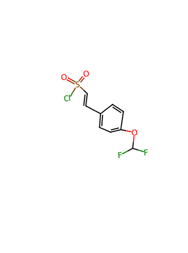 O=S(=O)(Cl)C=Cc1ccc(OC(F)F)cc1